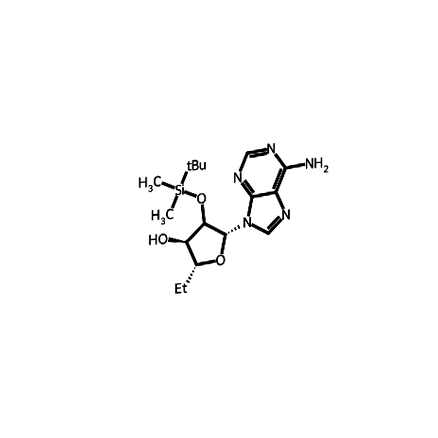 CC[C@H]1O[C@@H](n2cnc3c(N)ncnc32)C(O[Si](C)(C)C(C)(C)C)[C@@H]1O